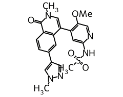 COc1cnc(NS(C)(=O)=O)cc1-c1cn(C)c(=O)c2ccc(-c3cnn(C)c3)cc12